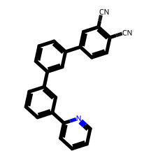 N#Cc1ccc(-c2cccc(-c3cccc(-c4ccccn4)c3)c2)cc1C#N